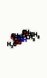 CCCOc1c(C)cc(-c2nc3cc(OC)cc(OC)c3c(=O)[nH]2)cc1C